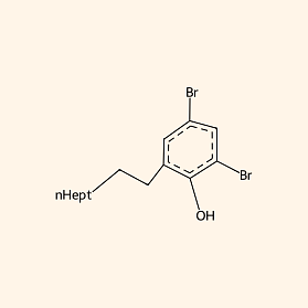 CCCCCCCCCc1cc(Br)cc(Br)c1O